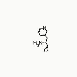 N[C@@H](C=O)Cc1cccnc1